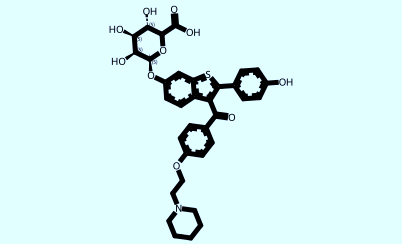 O=C(c1ccc(OCCN2CCCCC2)cc1)c1c(-c2ccc(O)cc2)sc2cc(O[C@@H]3OC(C(=O)O)[C@@H](O)[C@H](O)[C@@H]3O)ccc12